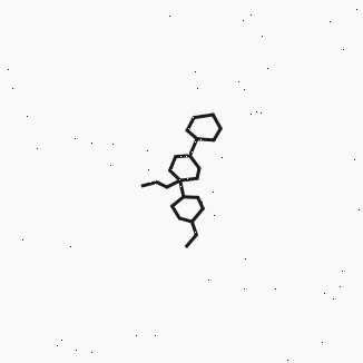 CCCC1(C2CCC(CC)CC2)CCC(C2CCCCC2)CC1